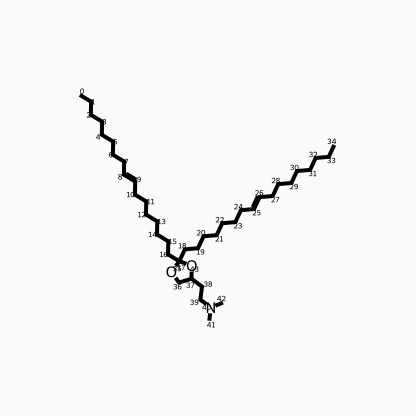 CCCCCCCC/C=C/CCCCCCCC1(CCCCCCC/C=C/CCCCCCCC)OCC(CCN(C)C)O1